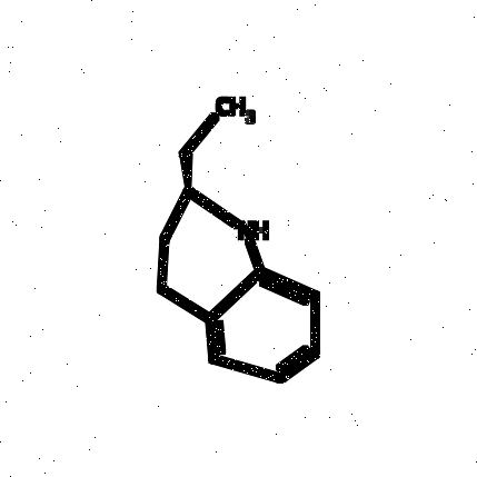 CC[C@@H]1CCc2ccccc2N1